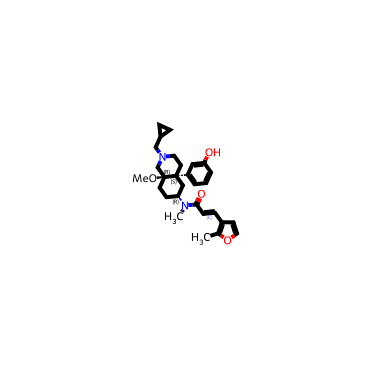 CO[C@]12CC[C@@H](N(C)C(=O)/C=C/c3ccoc3C)C[C@]1(c1cccc(O)c1)CCN(CC1CC1)C2